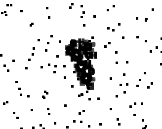 [O-][S@+]1CCc2nc(N3CC[C@H]4c5ccc(Cl)cc5OC[C@@H]4C3)nc(NC3(CO)CCC3)c21